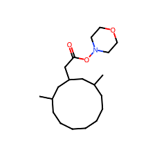 CC1CCCCCCCC(C)CC(CC(=O)ON2CCOCC2)C1